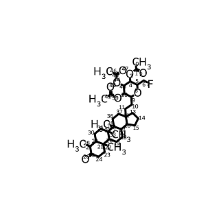 CC(=O)OC1C(CF)OC(CCC23CCCC2C2CCC4C5(C)CCC(=O)C(C)C5CCC4(C)[C@]2(C)CC3)C(OC(C)=O)C1OC(C)=O